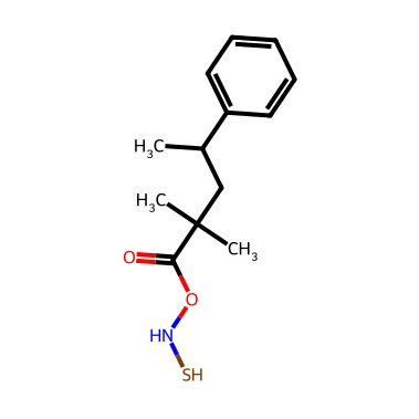 CC(CC(C)(C)C(=O)ONS)c1ccccc1